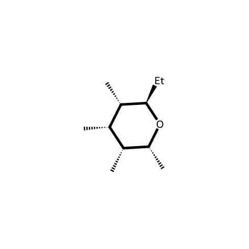 CC[C@H]1O[C@H](C)[C@H](C)[C@H](C)[C@@H]1C